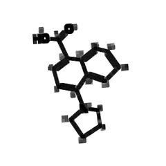 O=C(O)c1ccc(N2CCCC2)c2ccccc12